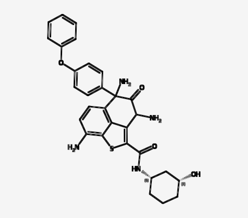 Nc1ccc2c3c(c(C(=O)N[C@H]4CCC[C@@H](O)C4)sc13)C(N)C(=O)C2(N)c1ccc(Oc2ccccc2)cc1